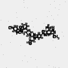 Cc1n[nH]c2c(C(F)(F)F)cc(NC(=O)c3ccc4c(c3)nc(CN3CC=C(c5cccc6c5O[C@@](C)(c5ccc(Cl)cc5F)O6)CC3)n4C[C@@H]3CCO3)cc12